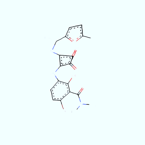 CC[C@@H](Nc1c(Nc2ccc(Br)c(C(=O)N(C)C)c2O)c(=O)c1=O)c1ccc(C)o1